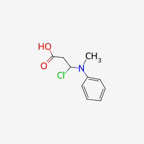 CN(c1ccccc1)C(Cl)CC(=O)O